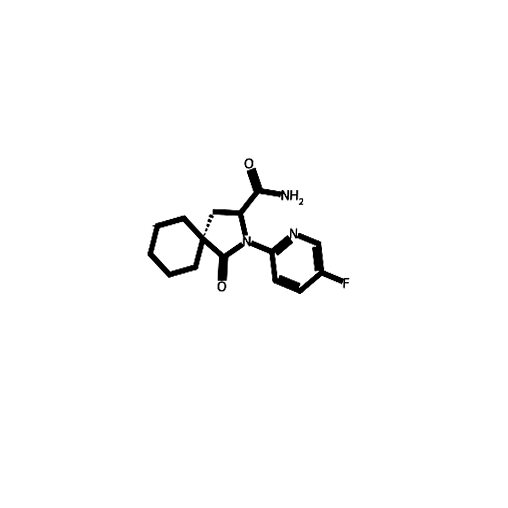 NC(=O)C1C[C@]2(C[CH]CCC2)C(=O)N1c1ccc(F)cn1